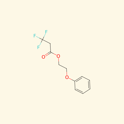 O=C(CC(F)(F)F)OCCOc1ccccc1